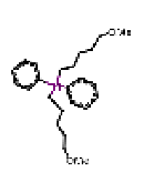 COCCCCC[PH](CCCCCOC)(c1ccccc1)c1ccccc1